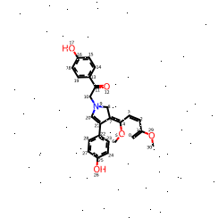 C=C(/C=C\C(OC)=C1/CN(CC(=O)c2ccc(O)cc2)C=C1c1ccc(O)cc1)OC